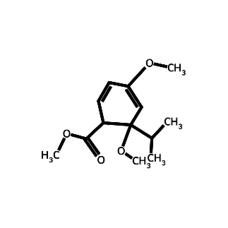 COC(=O)C1C=CC(OC)=CC1(OC)C(C)C